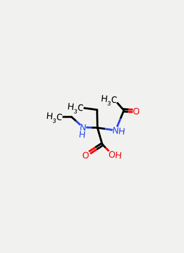 CCNC(CC)(NC(C)=O)C(=O)O